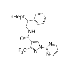 CCCCCCCC(CNC(=O)c1cn(-c2ncccn2)nc1C(F)(F)F)c1ccccc1